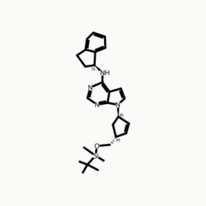 CC(C)(C)[Si](C)(C)OC[C@H]1C=C[C@H](n2ccc3c(N[C@H]4CCc5ccccc54)ncnc32)C1